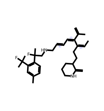 C=C(C)C(=C/C=C/CNCC(C)(F)c1ccc(C)cc1C(C)(C)F)/C(=C\C)CCC1CCCNC1=C